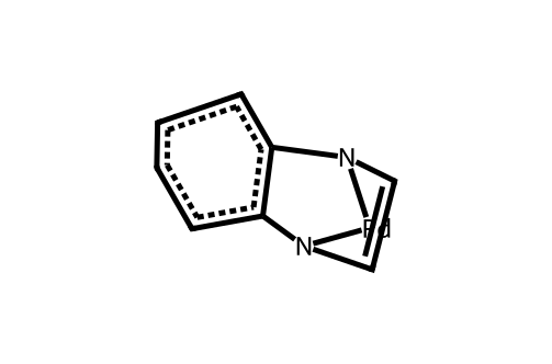 C1=C[N]2[Pd][N]1c1ccccc12